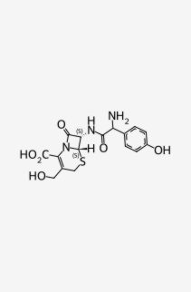 NC(C(=O)N[C@H]1C(=O)N2C(C(=O)O)=C(CO)CS[C@@H]12)c1ccc(O)cc1